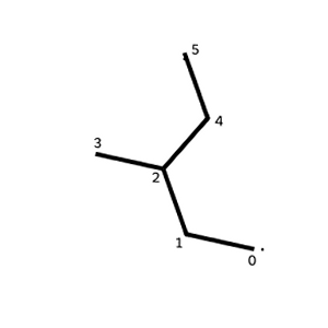 [CH2]CC(C)C[CH2]